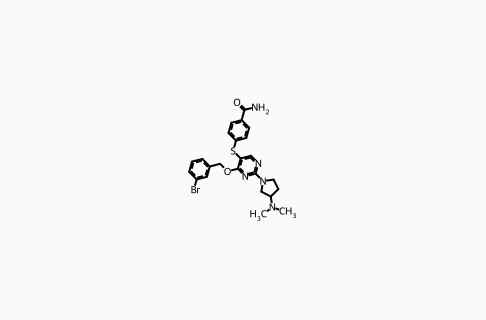 CN(C)C1CCN(c2ncc(Sc3ccc(C(N)=O)cc3)c(OCc3cccc(Br)c3)n2)C1